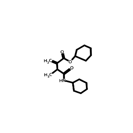 C=C(C(=O)OC1CCCCC1)C(C)C(=O)NC1CCCCC1